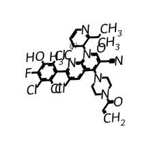 C=CC(=O)N1CCN(c2c(C#N)c(=O)n(C3C(C(C)C)=NC=C[C@H]3C)c3nc(-c4c(Cl)c(O)c(F)c(Cl)c4Cl)c(Cl)cc23)CC1